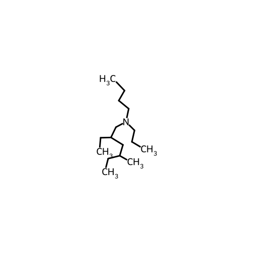 CCCCN(CCC)CC(CC)CC(C)CC